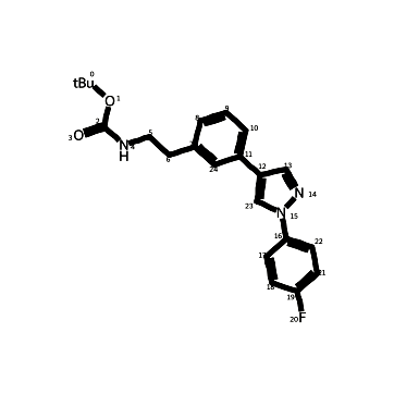 CC(C)(C)OC(=O)NCCc1cccc(-c2cnn(-c3ccc(F)cc3)c2)c1